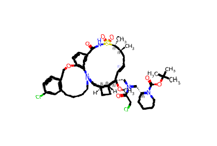 CO[C@]1(CN(C[C@H]2CCCCN2C(=O)OC(C)(C)C)C(=O)CCl)/C=C/C[C@H](C)[C@@H](C)S(=O)(=O)NC(=O)c2ccc3c(c2)N(CCCCc2cc(Cl)ccc2CO3)C[C@@H]2CC[C@H]21